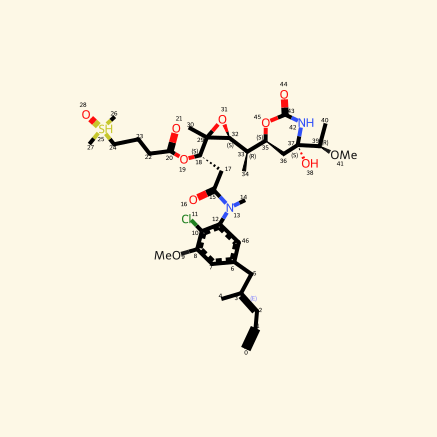 C#C/C=C(\C)Cc1cc(OC)c(Cl)c(N(C)C(=O)C[C@H](OC(=O)CCC[SH](C)(C)=O)C2(C)O[C@H]2[C@H](C)[C@@H]2C[C@](O)([C@@H](C)OC)NC(=O)O2)c1